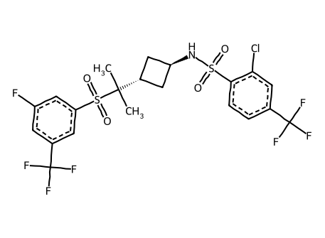 CC(C)([C@H]1C[C@H](NS(=O)(=O)c2ccc(C(F)(F)F)cc2Cl)C1)S(=O)(=O)c1cc(F)cc(C(F)(F)F)c1